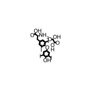 N[C@@H](Cc1cc(I)c(Oc2cc(I)c(O)c(I)c2)c(I)c1)C(=O)O.O=C(O)C(=O)O